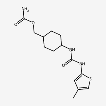 Cc1csc(NC(=O)NC2CCC(COC(N)=O)CC2)c1